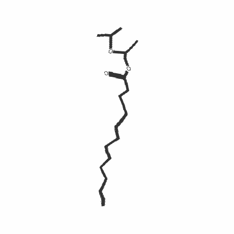 CCCCCCCCCCCC(=O)OC(C)OC(C)C